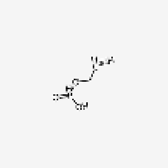 CCO[PH](=O)O.[LiH]